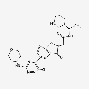 CC(NC(=O)CN1Cc2ccc(-c3nc(NC4CCOCC4)ncc3Cl)cc2C1=O)[C@@H]1CCCNC1